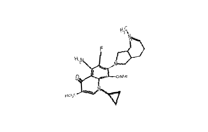 COc1c(N2CC3CCCN(C)C3C2)c(F)c(N)c2c(=O)c(C(=O)O)cn(C3CC3)c12